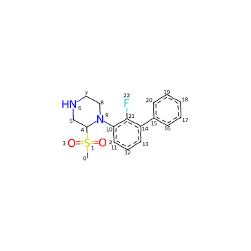 CS(=O)(=O)C1CNCCN1c1cccc(-c2ccccc2)c1F